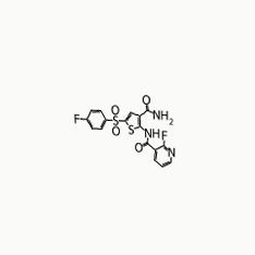 NC(=O)c1cc(S(=O)(=O)c2ccc(F)cc2)sc1NC(=O)c1cccnc1F